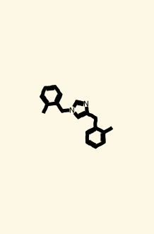 Cc1ccccc1Cc1cn(Cc2ccccc2C)cn1